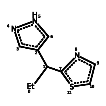 [CH2]CC(c1cn[nH]c1)c1nccs1